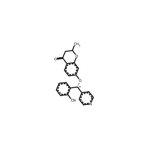 CC1CC(=O)c2ccc(O[C@H](c3ccncc3)c3ccccc3C#N)cc2O1